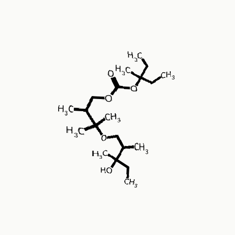 CCC(C)(CC)OC(=O)OCC(C)C(C)(C)OCC(C)C(C)(O)CC